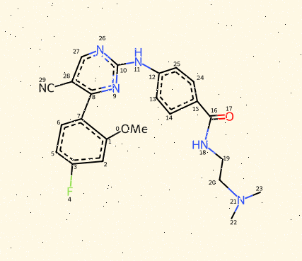 COc1cc(F)ccc1-c1nc(Nc2ccc(C(=O)NCCN(C)C)cc2)ncc1C#N